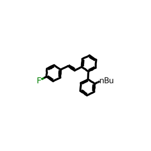 CCCCc1ccccc1-c1ccccc1/C=C/c1ccc(F)cc1